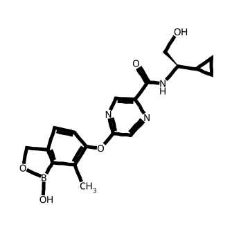 Cc1c(Oc2cnc(C(=O)N[C@@H](CO)C3CC3)cn2)ccc2c1B(O)OC2